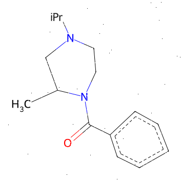 CC(C)N1CCN(C(=O)c2ccccc2)C(C)C1